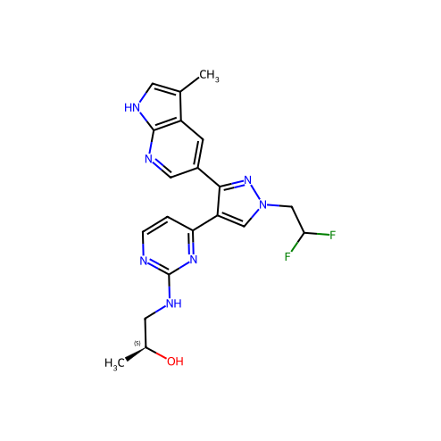 Cc1c[nH]c2ncc(-c3nn(CC(F)F)cc3-c3ccnc(NC[C@H](C)O)n3)cc12